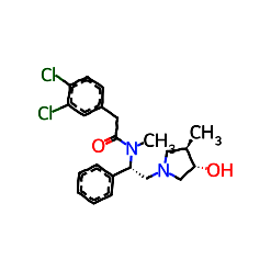 C[C@@H]1CN(C[C@H](c2ccccc2)N(C)C(=O)Cc2ccc(Cl)c(Cl)c2)C[C@H]1O